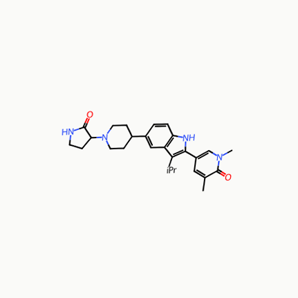 Cc1cc(-c2[nH]c3ccc(C4CCN(C5CCNC5=O)CC4)cc3c2C(C)C)cn(C)c1=O